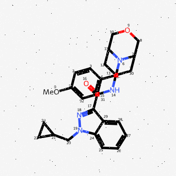 COc1ccc(CN2C3COCC2CC(NC(=O)c2nn(CC4CC4)c4ccccc24)C3)cc1